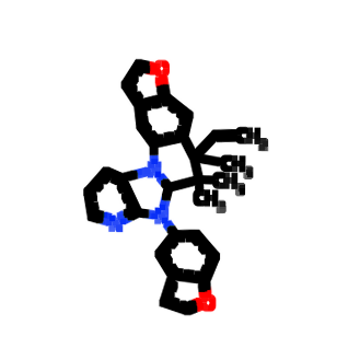 C=CC1(C)c2cc3occc3cc2N2c3cccnc3N(c3ccc4occc4c3)C2C1(C)C